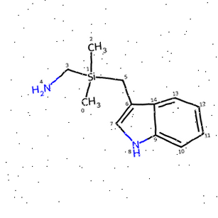 C[Si](C)(CN)Cc1c[nH]c2ccccc12